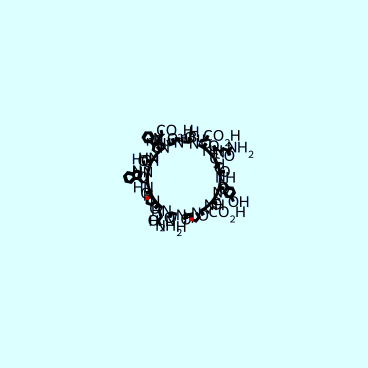 CCCC[C@H]1C(=O)N(C)[C@@H](CCCC)C(=O)N[C@@H](CCC(=O)O)C(=O)N[C@H](C(=O)NCC(N)=O)CSCC(=O)N[C@@H](Cc2ccc(O)cc2)C(=O)N(C)[C@@H](C)C(=O)N[C@@H](CC(=O)O)C(=O)N2CCC[C@H]2C(=O)N[C@@H](CN)C(=O)N[C@@H](CCC(N)=O)C(=O)N2CCC[C@H]2C(=O)N[C@@H](Cc2c[nH]c3ccccc23)C(=O)N[C@@H](CO)C(=O)N[C@@H](Cc2cn(CC(=O)O)c3ccccc23)C(=O)N1C